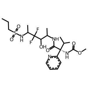 CCCS(=O)(=O)NC(C)C(F)(F)C(O)C(C)NC(=O)[C@](NC(=O)OC)(c1ccccn1)C(C)C